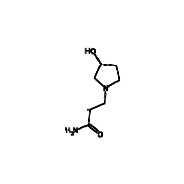 NC(=O)[CH]CN1CCC(O)C1